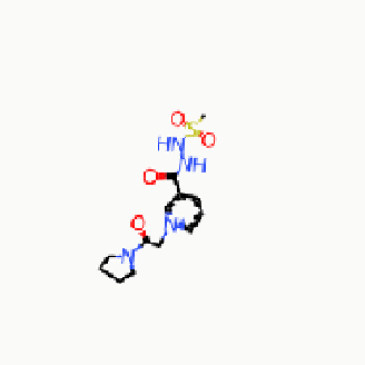 CS(=O)(=O)NNC(=O)c1ccc[n+](CC(=O)N2CCCC2)c1